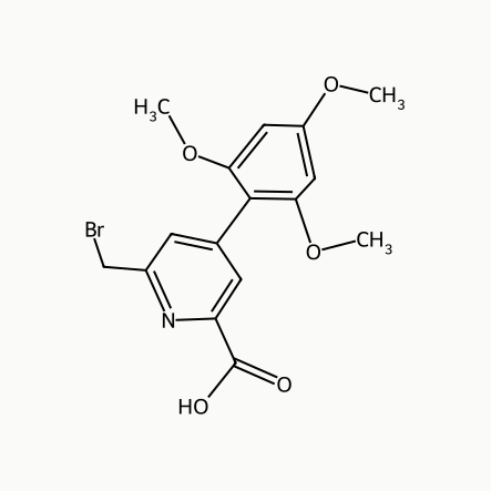 COc1cc(OC)c(-c2cc(CBr)nc(C(=O)O)c2)c(OC)c1